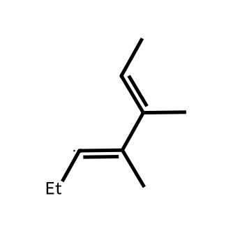 CC=C(C)/C(C)=[C]/CC